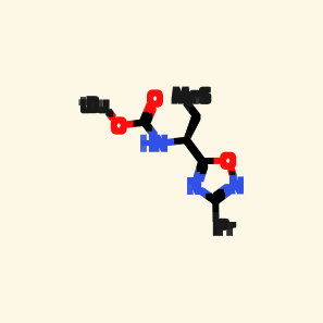 CSC[C@H](NC(=O)OC(C)(C)C)c1nc(C(C)C)no1